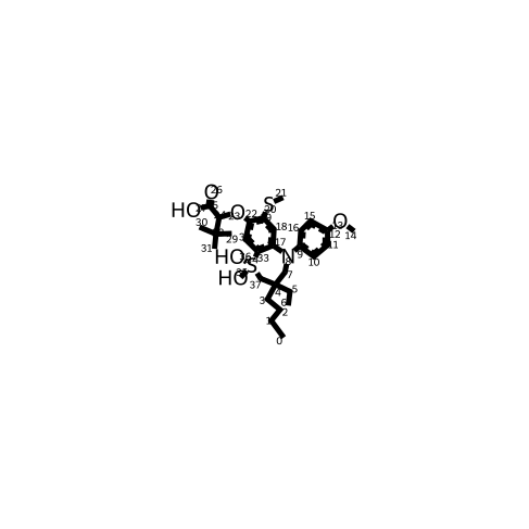 CCCCC1(CC)CN(c2ccc(OC)cc2)c2cc(SC)c(OC(C(=O)O)C(C)(C)C)cc2S(O)(O)C1